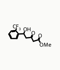 COC(=O)CC(=O)CC(O)c1ccccc1C(F)(F)F